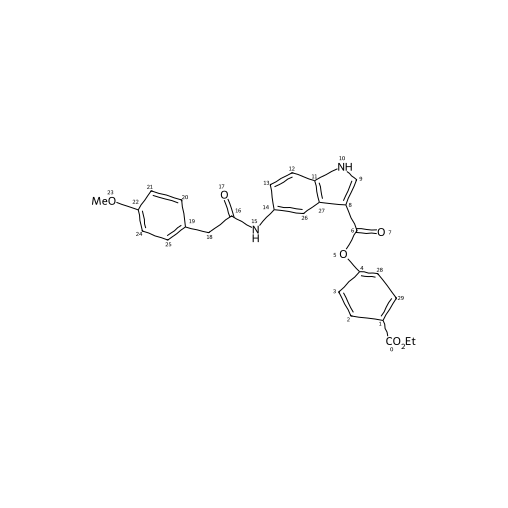 CCOC(=O)c1ccc(OC(=O)c2c[nH]c3ccc(NC(=O)Cc4ccc(OC)cc4)cc23)cc1